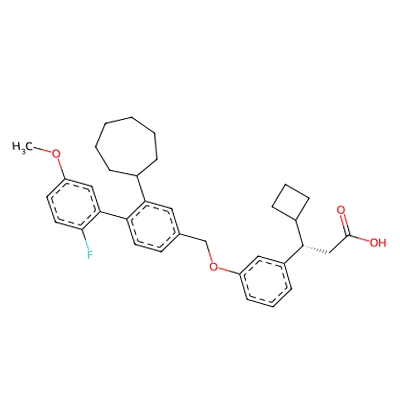 COc1ccc(F)c(-c2ccc(COc3cccc([C@@H](CC(=O)O)C4CCC4)c3)cc2C2CCCCCC2)c1